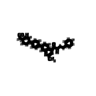 Cc1cc(C(=O)NCCc2ccccc2)c2ccc(-c3ccc(C4CCC(CC(=O)O)CC4)cc3)cc2n1